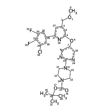 COCc1cc(Oc2cnc(N3CCN(C(=O)OC(C)(C)C)CC3)nc2)nc(-c2cc(F)c(F)c(Cl)c2)c1